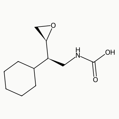 O=C(O)NC[C@@H](C1CCCCC1)[C@H]1CO1